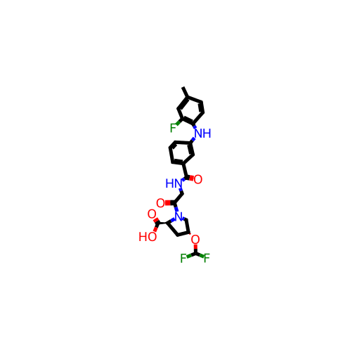 Cc1ccc(Nc2cccc(C(=O)NCC(=O)N3C[C@H](OC(F)F)C[C@H]3C(=O)O)c2)c(F)c1